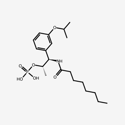 CCCCCCCC(=O)N[C@H](c1cccc(OC(C)C)c1)[C@H](C)OP(=O)(O)O